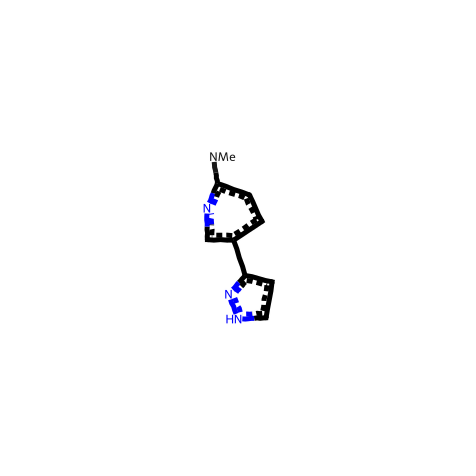 CNc1ccc(-c2cc[nH]n2)cn1